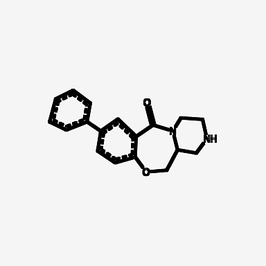 O=C1c2cc(-c3ccccc3)ccc2OCC2CNCCN12